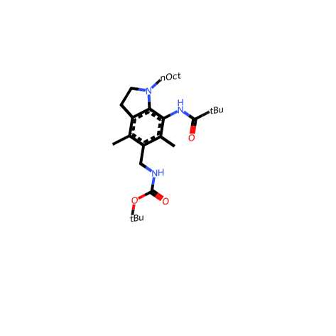 CCCCCCCCN1CCc2c(C)c(CNC(=O)OC(C)(C)C)c(C)c(NC(=O)C(C)(C)C)c21